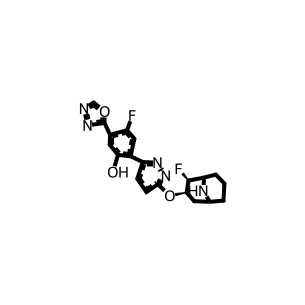 Oc1cc(-c2nnco2)c(F)cc1-c1ccc(O[C@@H]2CC3CCCC(N3)[C@@H]2F)nn1